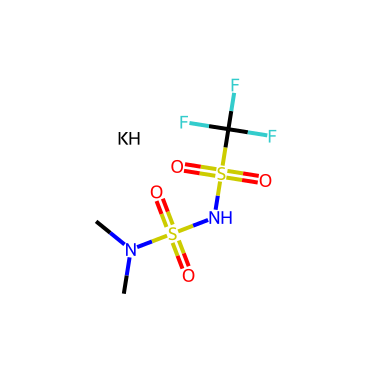 CN(C)S(=O)(=O)NS(=O)(=O)C(F)(F)F.[KH]